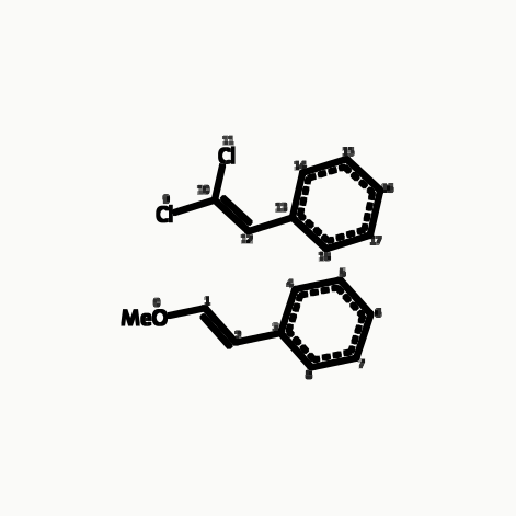 COC=Cc1ccccc1.ClC(Cl)=Cc1ccccc1